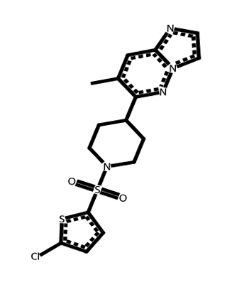 Cc1cc2nccn2nc1C1CCN(S(=O)(=O)c2ccc(Cl)s2)CC1